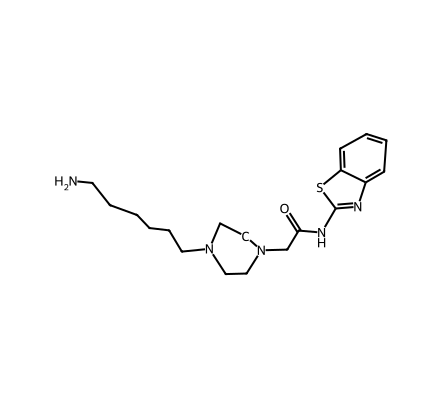 NCCCCCCN1CCN(CC(=O)Nc2nc3ccccc3s2)CC1